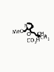 COCc1ncccc1C(=O)CCC(C)(C)C(=O)O